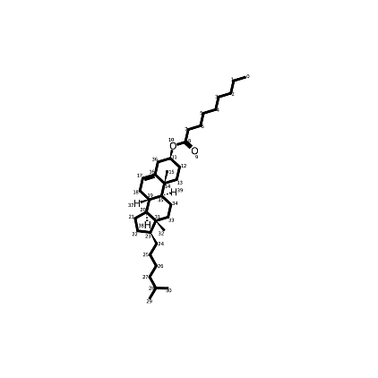 CCCCCCCCC(=O)O[C@H]1CC[C@@]2(C)C(=CC[C@H]3[C@@H]4CC[C@H](CCCCC(C)C)[C@@]4(C)CC[C@@H]32)C1